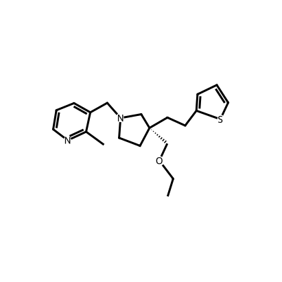 CCOC[C@]1(CCc2cccs2)CCN(Cc2cccnc2C)C1